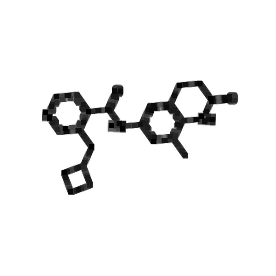 Cc1cc(NC(=O)c2ccncc2CC2CCC2)cc2c1NC(=O)CC2